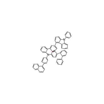 c1ccc(-c2ccccc2-c2ccc(N(c3ccc(-c4cccc5ccccc45)cc3)c3ccccc3-c3cccc(-c4cccc5c4c4ccccc4n5-c4ccccc4)c3)cc2)cc1